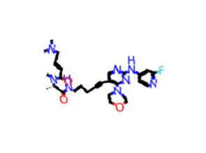 C[C@@H](C(=O)NCCCC#Cc1cnc(Nc2ccnc(F)c2)nc1N1CCOCC1)N(C)C(=O)/C=C/CN(C)C